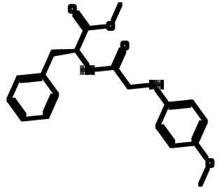 COC(=O)[C@H](Cc1ccccc1)NC(=O)CNc1ccc(OC)cc1